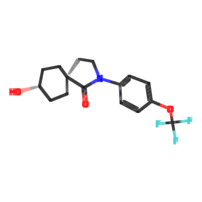 O=C1N(c2ccc(OC(F)(F)F)cc2)CC[C@]12CC[C@@H](O)CC2